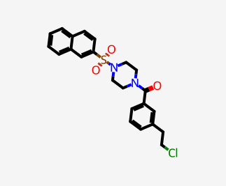 O=C(c1cccc(CCCl)c1)N1CCN(S(=O)(=O)c2ccc3ccccc3c2)CC1